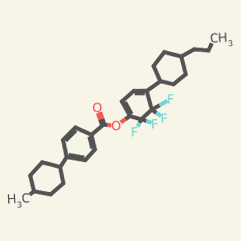 CCCC1CCC(C2=CC=C(OC(=O)c3ccc(C4CCC(C)CC4)cc3)C(F)(F)C2(F)F)CC1